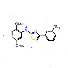 COc1ccc(OC)c(Nc2nc(-c3cccc([N+](=O)[O-])c3)cs2)c1